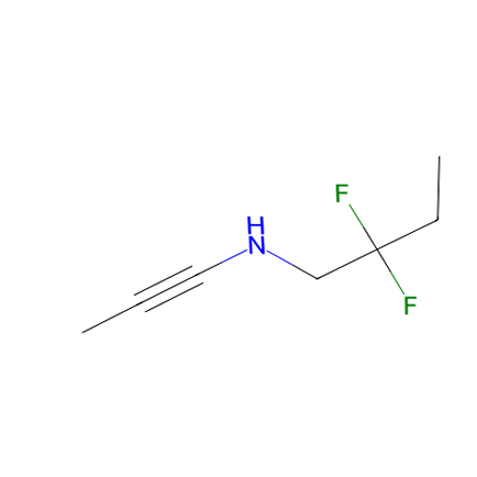 CC#CNCC(F)(F)CC